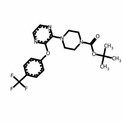 CC(C)(C)OC(=O)N1CCN(c2nccnc2Oc2ccc(C(F)(F)F)cc2)CC1